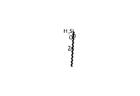 CCCCCCCCCCCCCCCCCC(=O)OCC[SiH3].[Zn]